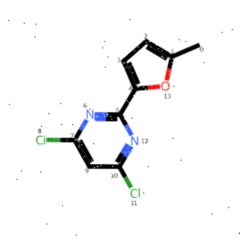 Cc1ccc(-c2nc(Cl)cc(Cl)n2)o1